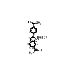 Cl.Cl.N=C(N)c1ccc(-c2cc3ccc(C(=N)N)cc3[nH]2)cc1.O